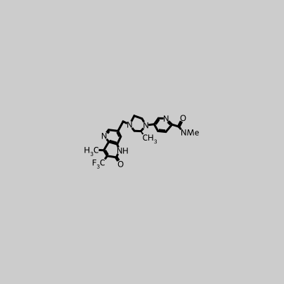 CNC(=O)c1ccc(N2CCN(Cc3cnc4c(C)c(C(F)(F)F)c(=O)[nH]c4c3)C[C@@H]2C)cn1